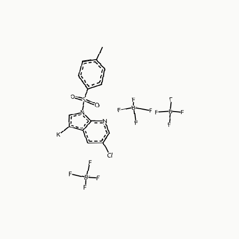 Cc1ccc(S(=O)(=O)n2c[c]([K])c3cc(Cl)cnc32)cc1.F[B-](F)(F)F.F[B-](F)(F)F.F[B-](F)(F)F